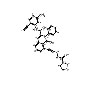 C[C@H](Nc1nc(N)ncc1C#N)c1cc2cccc(C#CCCC(=O)N3CCCC3)c2c(=O)n1-c1ccccc1